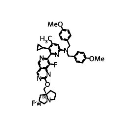 COc1ccc(CN(Cc2ccc(OC)cc2)c2cc(C)c(C3CC3)c(-c3ncc4cnc(OC[C@@]56CCCN5C[C@H](F)C6)nc4c3F)n2)cc1